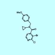 COc1ccc(CN(C(=O)c2ccnc(Cl)c2Br)C2CC2)cc1